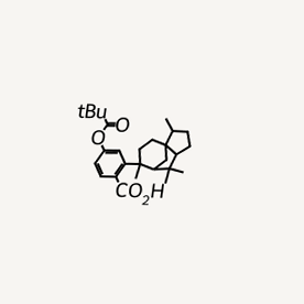 CC1CCC2C(C)(C)C3CC12CCC3(C)c1cc(OC(=O)C(C)(C)C)ccc1C(=O)O